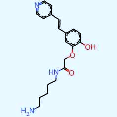 NCCCCCNC(=O)COc1cc(/C=C/c2ccncc2)ccc1O